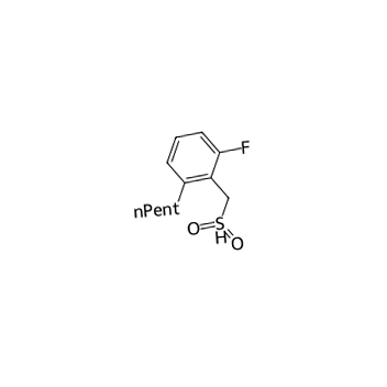 CCCCCc1cccc(F)c1C[SH](=O)=O